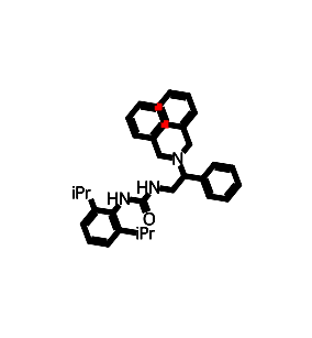 CC(C)c1cccc(C(C)C)c1NC(=O)NCC(c1ccccc1)N(Cc1ccccc1)Cc1ccccc1